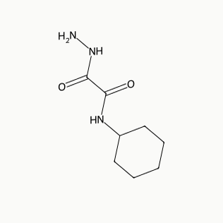 NNC(=O)C(=O)NC1CCCCC1